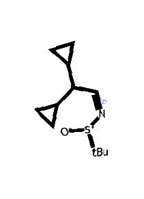 CC(C)(C)[S+]([O-])/N=C\C(C1CC1)C1CC1